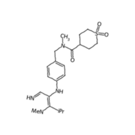 CN/C(=C(\C=N)Nc1ccc(CN(C)C(=O)C2CCS(=O)(=O)CC2)cc1)C(C)C